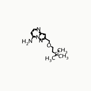 C[Si](C)(C)CCOCc1cc2nccc(N)n2n1